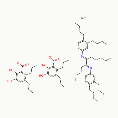 CCCCCC(=Nc1ccc(CCCC)c(CCCC)c1)C(CCCC)=Nc1ccc(CCCC)c(CCCC)c1.CCCc1cc(O)c(O)c(C(=O)[O-])c1CCC.CCCc1cc(O)c(O)c(C(=O)[O-])c1CCC.[Ni+2]